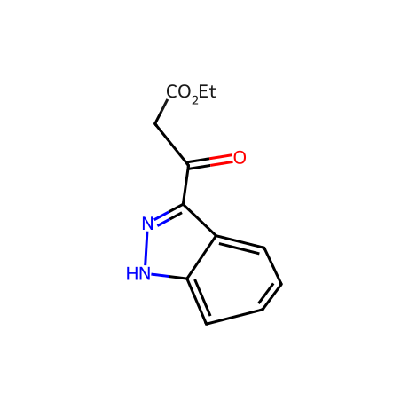 CCOC(=O)CC(=O)c1n[nH]c2ccccc12